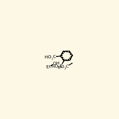 CC(=O)O.CCO.O=C(O)c1ccccc1C(=O)O